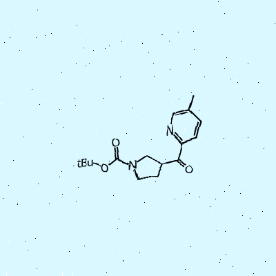 Cc1ccc(C(=O)C2CCN(C(=O)OC(C)(C)C)C2)nc1